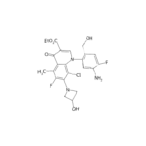 CCOC(=O)c1cn(-c2cc(N)c(F)cc2CO)c2c(Cl)c(N3CC(O)C3)c(F)c(C)c2c1=O